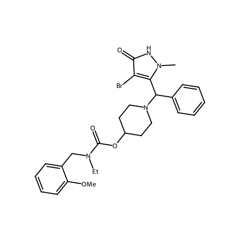 CCN(Cc1ccccc1OC)C(=O)OC1CCN(C(c2ccccc2)c2c(Br)c(=O)[nH]n2C)CC1